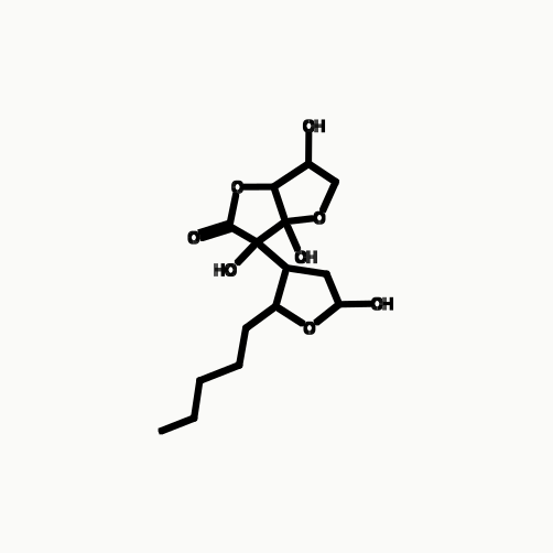 CCCCCC1OC(O)CC1C1(O)C(=O)OC2C(O)COC21O